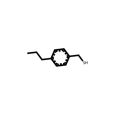 CCCc1ccc(CS)cc1